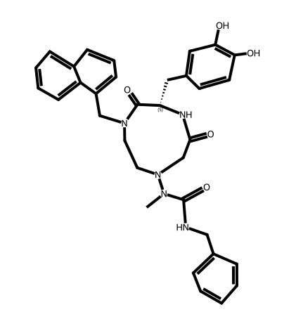 CN(C(=O)NCc1ccccc1)N1CCN(Cc2cccc3ccccc23)C(=O)[C@H](Cc2ccc(O)c(O)c2)NC(=O)C1